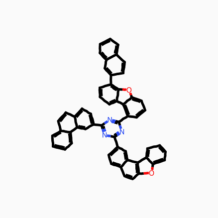 c1ccc2cc(-c3cccc4c3oc3cccc(-c5nc(-c6ccc7ccc8ccccc8c7c6)nc(-c6ccc7ccc8oc9ccccc9c8c7c6)n5)c34)ccc2c1